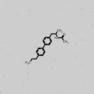 CCCc1ccc(-c2ccc(CC(C)NC(C)=O)cc2)cc1